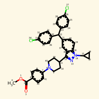 COC(=O)c1ccc(N2CCC(c3nn(C4CC4)c4ccc(C(c5ccc(Cl)cc5)c5ccc(Cl)cc5)cc34)CC2)cc1